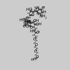 CCCOCCOCCOCCOCCC(=O)NCC1O[C@H](OP(=O)(O)OP(=O)(O)OC[C@@H]2C[C@H](O)[C@H](n3cnc4c(=O)[nH]c(N)nc43)O2)C(O)C(O)[C@@H]1O